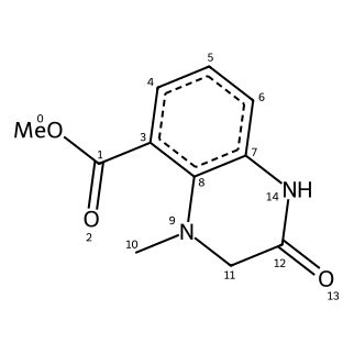 COC(=O)c1cccc2c1N(C)CC(=O)N2